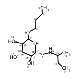 CCCCOC1O[C@H](CNC(C)CC)[C@@H](O)[C@H](O)[C@H]1O